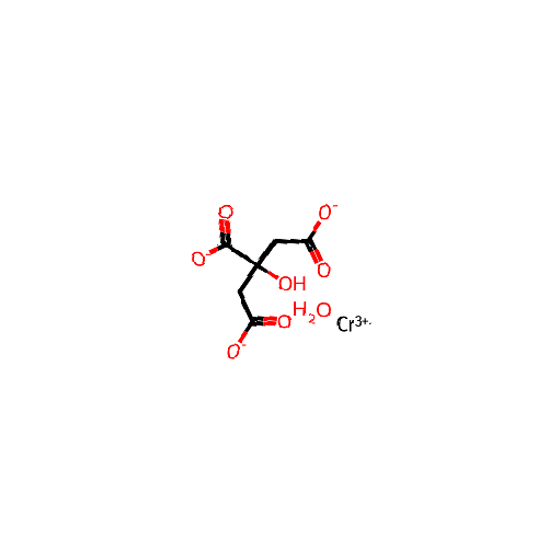 O.O=C([O-])CC(O)(CC(=O)[O-])C(=O)[O-].[Cr+3]